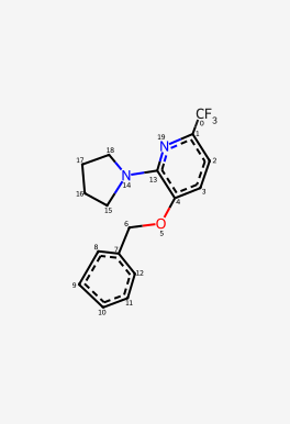 FC(F)(F)c1ccc(OCc2ccccc2)c(N2CCCC2)n1